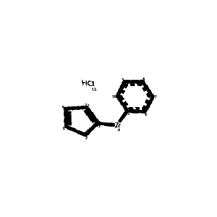 C1=CC[C]([Zr][c]2ccccc2)=C1.Cl